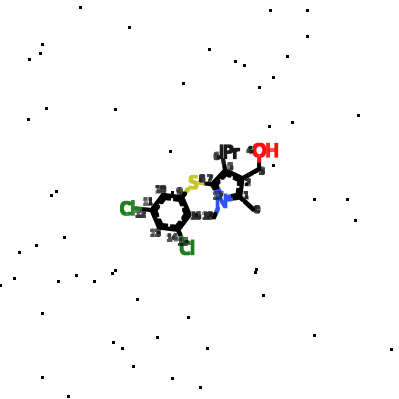 Cc1c(CO)c(C(C)C)c(Sc2cc(Cl)cc(Cl)c2)n1C